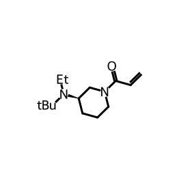 C=CC(=O)N1CCC[C@@H](N(CC)C(C)(C)C)C1